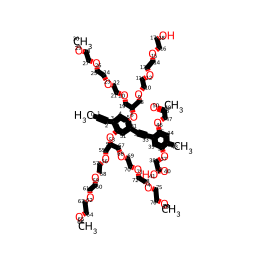 CC#Cc1cc(OC(COCCOCCOCCO)COCCOCCOCCOC)c(C#Cc2cc(OCC(=O)O)c(C)cc2OCC(C)=O)cc1OC(COCCOCCOCCOC)COCCOCCOCCOC